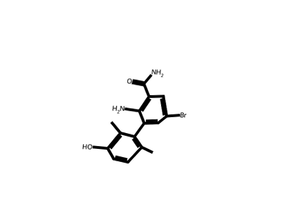 Cc1ccc(O)c(C)c1-c1cc(Br)cc(C(N)=O)c1N